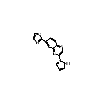 c1c[nH][n+](-c2cnc3ccc(-c4ncco4)cc3n2)c1